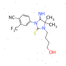 CC1(C)C(=N)N(c2ccc(C#N)c(C(F)(F)F)c2)C(=S)N1CCCCO